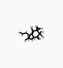 C=C1C2=CC(C)=C(CCC)C2=C(C)C2(CC2)C1(C)C